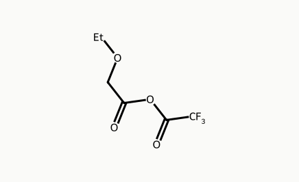 CCOCC(=O)OC(=O)C(F)(F)F